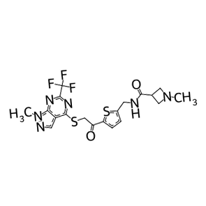 CN1CC(C(=O)NCc2ccc(C(=O)CSc3nc(C(F)(F)F)nc4c3cnn4C)s2)C1